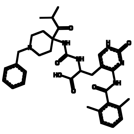 Cc1cccc(C)c1C(=O)Nc1nc(=O)[nH]cc1CC(NC(=O)NC1(C(=O)C(C)C)CCN(Cc2ccccc2)CC1)C(=O)O